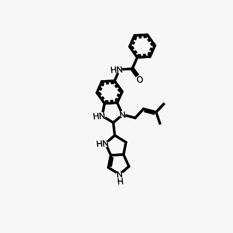 CC(C)=CCN1c2cc(NC(=O)c3ccccc3)ccc2NC1C1CC2CNC=C2N1